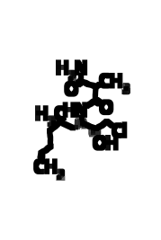 C=CCCC(C)C[C@H](NC(=O)C(C)C(N)=O)[C@@H](O)CCl